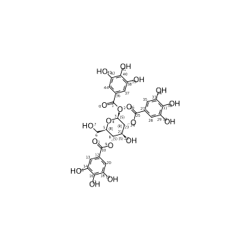 O=C(O[C@@H]1O[C@H](CO)[C@@H](OC(=O)c2cc(O)c(O)c(O)c2)[C@H](O)[C@H]1OC(=O)c1cc(O)c(O)c(O)c1)c1cc(O)c(O)c(O)c1